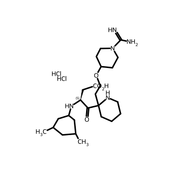 CC1CC(C)CC(N[C@@H](CC(=O)O)C(=O)C2(CCOC3CCN(C(=N)N)CC3)CCCCN2)C1.Cl.Cl